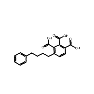 O=C(O)c1ccc(CCCCc2ccccc2)c(C(=O)O)c1C(=O)O